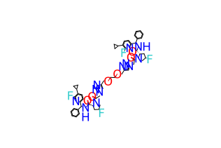 O=C(N[C@@H](c1ccccc1)c1ccc(C2CC2)c(F)n1)[C@@H]1C[C@@H](F)CN1C(=O)Cn1cc(COCCOCc2cn(CC(=O)N3C[C@H](F)C[C@H]3C(=O)N[C@@H](c3ccccc3)c3ccc(C4CC4)c(F)n3)nn2)nn1